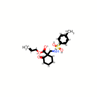 C=CCOC(=O)C1(CNS(=O)(=O)c2ccc(C)cc2)CCCCC1=O